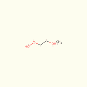 C.OCCOO